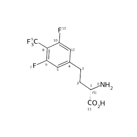 N[C@@H](CCc1cc(F)c(C(F)(F)F)c(F)c1)C(=O)O